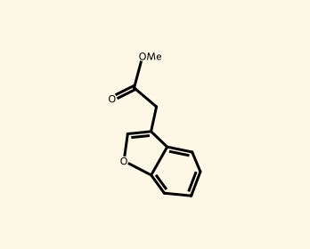 COC(=O)Cc1coc2ccccc12